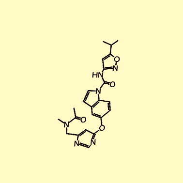 CC(=O)N(C)Cc1cc(Oc2ccc3c(ccn3C(=O)Nc3cc(C(C)C)on3)c2)ncn1